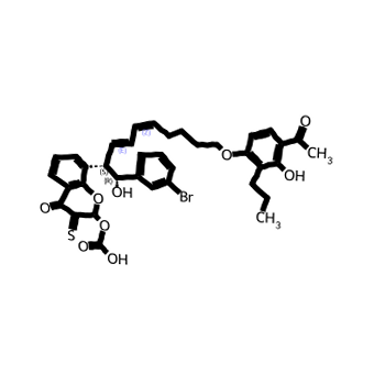 CCCc1c(OCCCC/C=C\C=C\[C@@H](c2cccc3c2OC(OC(=O)O)C(=S)C3=O)[C@@H](O)c2cccc(Br)c2)ccc(C(C)=O)c1O